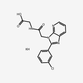 O=C(O)CNC(=O)Cn1c(-c2cccc(Cl)c2)nc2cccnc21.[KH]